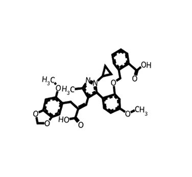 COc1ccc(-c2c(C=C(Cc3cc4c(cc3OC)OCO4)C(=O)O)c(C)nn2C2CC2)c(OCc2ccccc2C(=O)O)c1